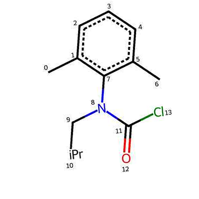 Cc1cccc(C)c1N(CC(C)C)C(=O)Cl